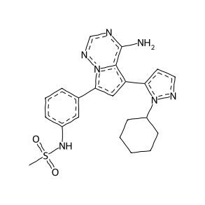 CS(=O)(=O)Nc1cccc(-c2cc(-c3ccnn3C3CCCCC3)c3c(N)ncnn23)c1